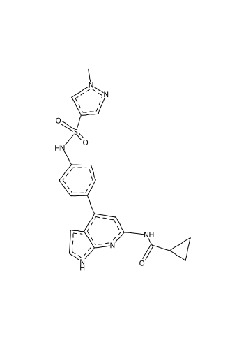 Cn1cc(S(=O)(=O)Nc2ccc(-c3cc(NC(=O)C4CC4)nc4[nH]ccc34)cc2)cn1